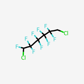 FC(Cl)C(F)(F)C(F)(F)C(F)(F)C(F)(F)CCl